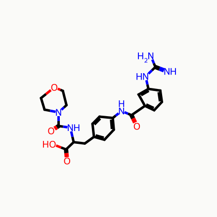 N=C(N)Nc1cccc(C(=O)Nc2ccc(CC(NC(=O)N3CCOCC3)C(=O)O)cc2)c1